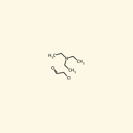 CCN(CC)CC.O=CCCl